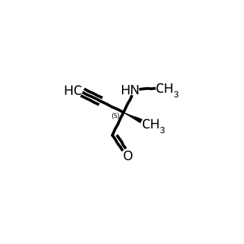 C#C[C@@](C)(C=O)NC